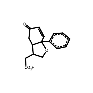 O=C(O)CC1COC2(c3ccccc3)C=CC(=O)CC12